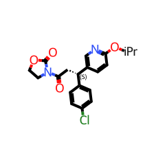 CC(C)Oc1ccc([C@@H](CC(=O)N2CCOC2=O)c2ccc(Cl)cc2)cn1